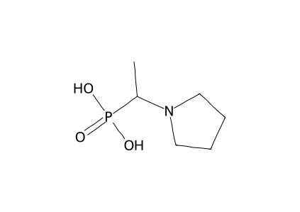 CC(N1CCCC1)P(=O)(O)O